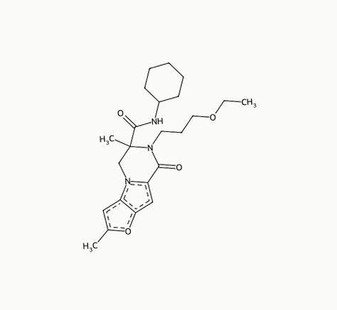 CCOCCCN1C(=O)c2cc3oc(C)cc3n2CC1(C)C(=O)NC1CCCCC1